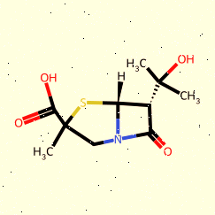 CC1(C(=O)O)CN2C(=O)[C@@H](C(C)(C)O)[C@H]2S1